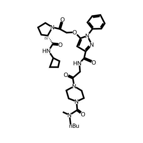 CCCCN(C)C(=O)N1CCN(C(=O)CNC(=O)c2cc(OCC(=O)N3CCC[C@H]3C(=O)NC3CCC3)n(-c3ccccc3)n2)CC1